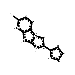 Fc1ccc2c(n1)sc1nc(-c3ccco3)cn12